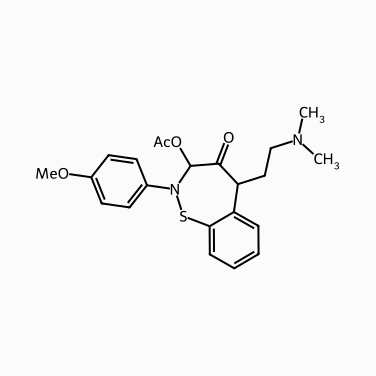 COc1ccc(N2Sc3ccccc3C(CCN(C)C)C(=O)C2OC(C)=O)cc1